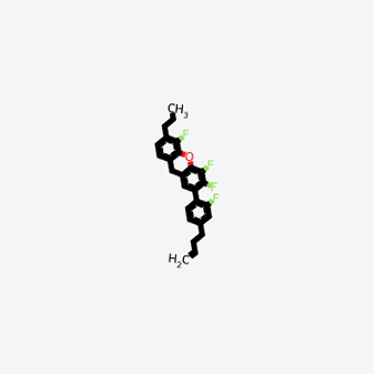 C=CCCc1ccc(-c2cc3c(c(F)c2F)Oc2c(ccc(CCC)c2F)C3)c(F)c1